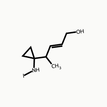 CC(/C=C/CO)C1(NI)CC1